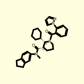 CN(C(=O)[C@H]1CCCN(C(=O)c2ccccc2-n2cccn2)[C@H]1C1CCCCC1)c1ccc2c(c1)CCC2